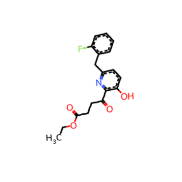 CCOC(=O)CCC(=O)c1nc(Cc2ccccc2F)ccc1O